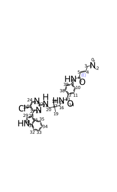 CN(C)C/C=C/C(=O)Nc1ccc(C(=O)NCC(C)(C)CNc2ncc(Cl)c(-c3c[nH]c4ccccc34)n2)cc1